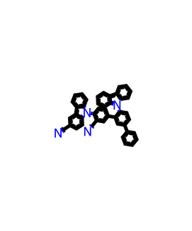 N#Cc1ccc2c(c1)c1ccccc1n2-c1ccc(-c2cc(-c3ccccc3)ccc2-n2c3ccccc3c3ccccc32)cc1C#N